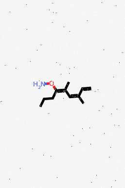 C=C/C(C)=C\C(C)=C(/CCC)ON